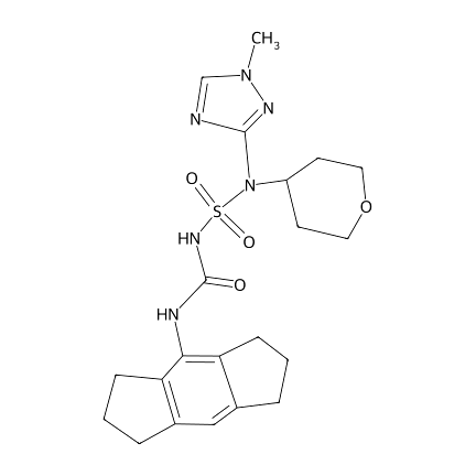 Cn1cnc(N(C2CCOCC2)S(=O)(=O)NC(=O)Nc2c3c(cc4c2CCC4)CCC3)n1